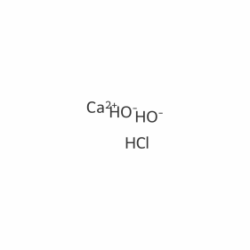 Cl.[Ca+2].[OH-].[OH-]